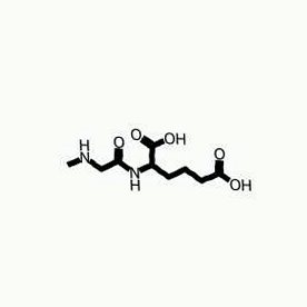 CNCC(=O)NC(CCCC(=O)O)C(=O)O